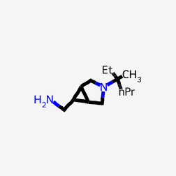 CCCC(C)(CC)N1CC2C(CN)C2C1